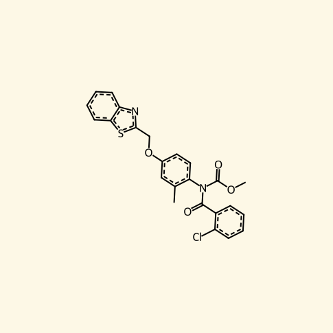 COC(=O)N(C(=O)c1ccccc1Cl)c1ccc(OCc2nc3ccccc3s2)cc1C